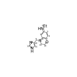 CCNc1ccc2c(c1)N(Cc1c[nH]cn1)CCO2